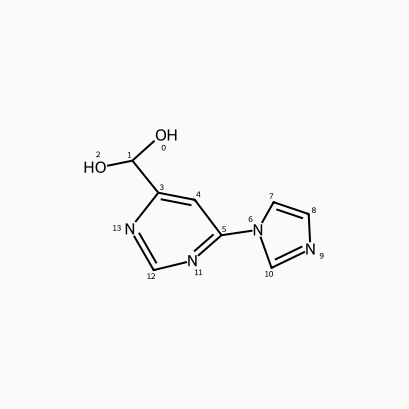 OC(O)c1cc(-n2ccnc2)ncn1